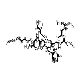 CC(=O)N[C@@H](CCCNC(=N)N)C(=O)N[C@@H](Cc1cnc[nH]1)C(=O)N[C@@H](CCCCN)C(=O)N[C@@H](CCCCN=[N+]=[N-])C(N)=O